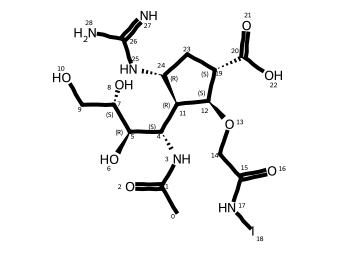 CC(=O)N[C@H]([C@@H](O)[C@@H](O)CO)[C@@H]1[C@H](OCC(=O)NI)[C@@H](C(=O)O)C[C@H]1NC(=N)N